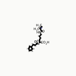 C/C=C(\C)C(=O)NCCCC[C@H](NC(=O)C=Cc1ccccc1)C(=O)O